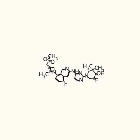 C[C@@H]1[C@@H](CS(C)(=O)=O)CN1c1ccc(F)c2cc(Nc3ccnc(N4C[C@@H](F)[C@@H](O)C(C)(C)C4)n3)ncc12